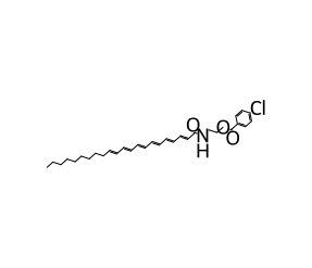 CCCCCCCCCC=CC=CC=CC=CC=CC=CC(=O)NCCOC(=O)c1ccc(Cl)cc1